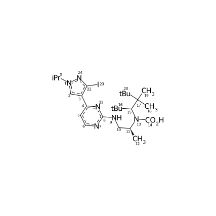 CC(C)n1cc(-c2ccnc(NC[C@H](C)N(C(=O)O)C(C(C)(C)C)C(C)(C)C(C)(C)C)n2)c(I)n1